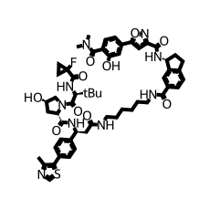 Cc1ncsc1-c1ccc([C@H](CC(=O)NCCCCCCNC(=O)c2ccc3c(c2)[C@H](NC(=O)c2cc(-c4ccc(C(=O)N(C)C)c(O)c4)on2)CC3)NC(=O)[C@@H]2C[C@@H](O)CN2C(=O)[C@@H](NC(=O)C2(F)CC2)C(C)(C)C)cc1